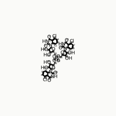 O=c1[nH]c(=O)n([C@@H]2O[C@H](COP(=O)(OC[C@H]3O[C@@H](n4c(=O)[nH]c(=O)c5c(Cl)cccc54)[C@H](O)[C@@H]3O)OC[C@H]3O[C@@H](n4c(=O)[nH]c(=O)c5c(Cl)cccc54)[C@H](O)[C@@H]3O)[C@@H](O)[C@H]2O)c2cccc(Cl)c12